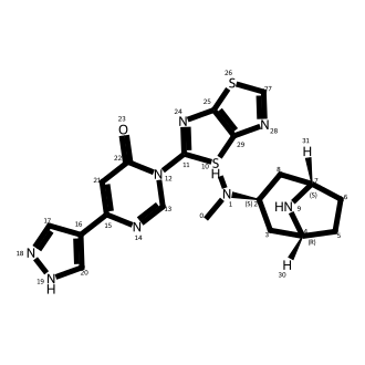 CN([C@@H]1C[C@H]2CC[C@@H](C1)N2)[SH]1C(n2cnc(-c3cn[nH]c3)cc2=O)=Nc2scnc21